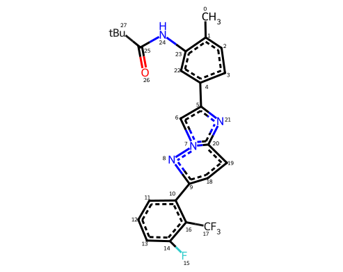 Cc1ccc(-c2cn3nc(-c4cccc(F)c4C(F)(F)F)ccc3n2)cc1NC(=O)C(C)(C)C